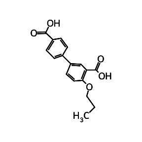 CCCOc1ccc(-c2ccc(C(=O)O)cc2)cc1C(=O)O